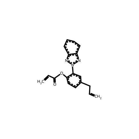 C=CCc1ccc(OC(=O)C=C)c(-n2nc3ccccc3n2)c1